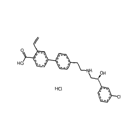 C=Cc1cc(-c2ccc(CCNC[C@@H](O)c3cccc(Cl)c3)cc2)ccc1C(=O)O.Cl